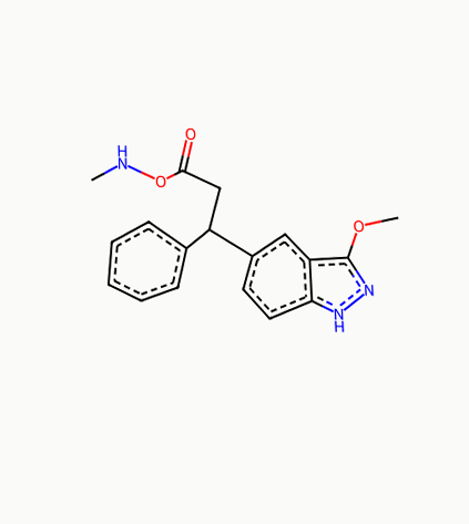 CNOC(=O)CC(c1ccccc1)c1ccc2[nH]nc(OC)c2c1